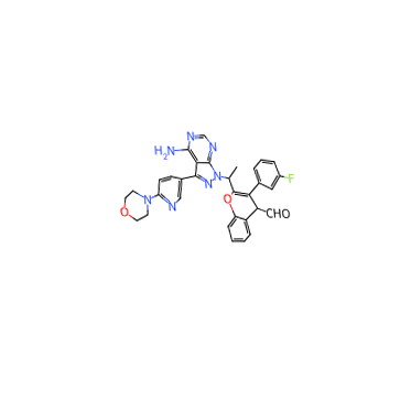 CC(C1=C(c2cccc(F)c2)C(C=O)c2ccccc2O1)n1nc(-c2ccc(N3CCOCC3)nc2)c2c(N)ncnc21